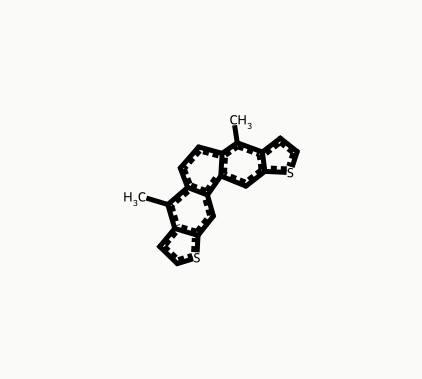 Cc1c2ccsc2cc2c1ccc1c(C)c3ccsc3cc12